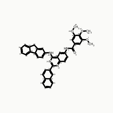 COc1cc(C(=O)Nc2ccc3nc(-c4ccc5ccccc5c4)nc(Nc4ccc5c(c4)Cc4ccccc4-5)c3c2)cc(OC)c1OC